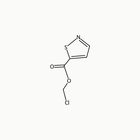 O=C(OCCl)c1ccns1